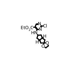 CCOC(=O)c1cnc(Cl)nc1NC1C[C@@H]2CC3(C[C@@H]2C1)OCCO3